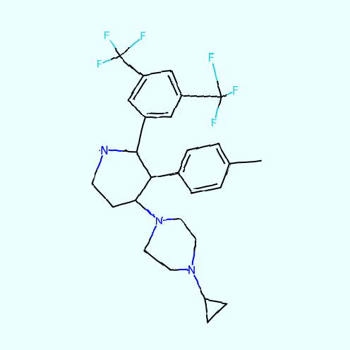 Cc1ccc(C2C(c3cc(C(F)(F)F)cc(C(F)(F)F)c3)[N]CCC2N2CCN(C3CC3)CC2)cc1